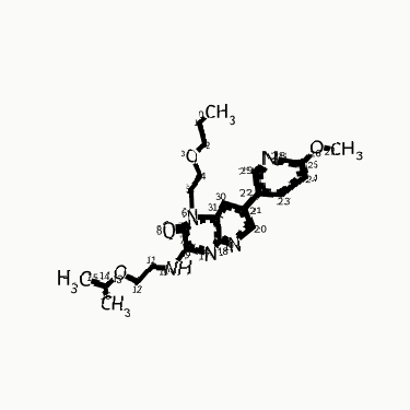 CCCOCCn1c(=O)c(NCCOC(C)C)nc2ncc(-c3ccc(OC)nc3)cc21